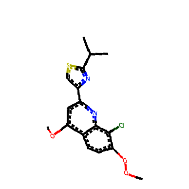 COOc1ccc2c(OC)cc(-c3csc(C(C)C)n3)nc2c1Cl